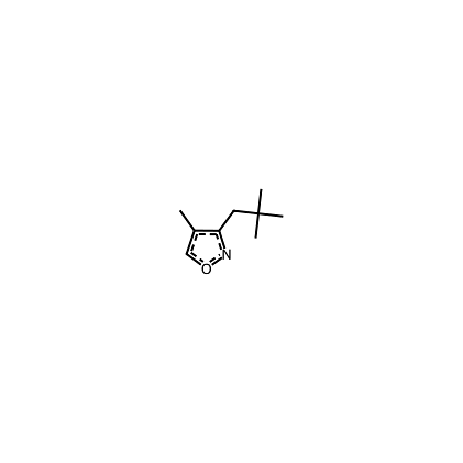 Cc1conc1CC(C)(C)C